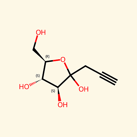 C#CCC1(O)O[C@H](CO)[C@@H](O)[C@@H]1O